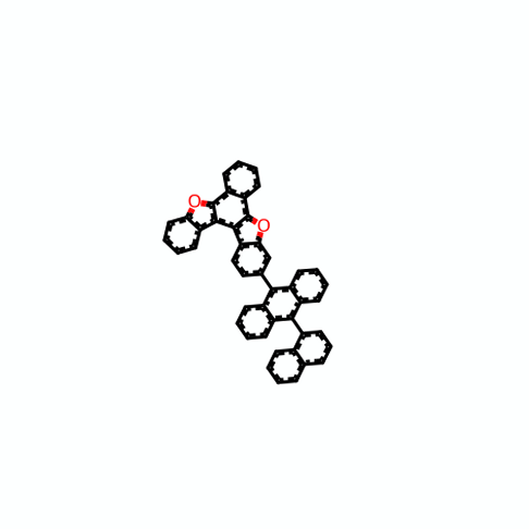 c1ccc2c(-c3c4ccccc4c(-c4ccc5c(c4)oc4c6ccccc6c6oc7ccccc7c6c54)c4ccccc34)cccc2c1